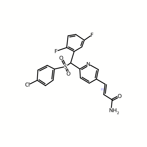 NC(=O)/C=C/c1ccc(C(c2cc(F)ccc2F)S(=O)(=O)c2ccc(Cl)cc2)nc1